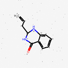 C=CCC1NC(=O)c2ccccc2N1